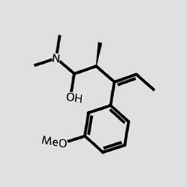 C/C=C(\c1cccc(OC)c1)[C@H](C)C(O)N(C)C